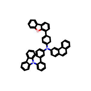 C1=C(c2cccc3c2oc2ccccc23)CCC(N(c2cccc(-c3ccccc3-n3c4ccccc4c4ccccc43)c2)c2ccc3ccc4ccccc4c3c2)=C1